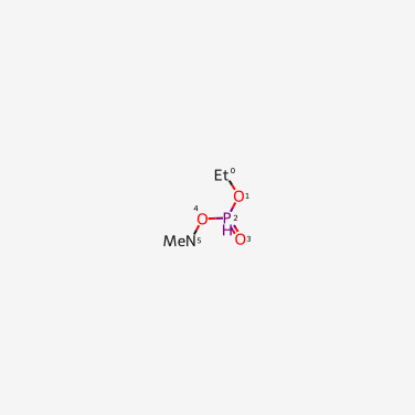 CCO[PH](=O)ONC